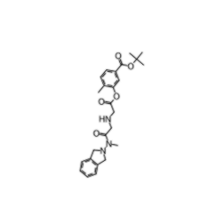 Cc1ccc(C(=O)OC(C)(C)C)cc1OC(=O)CNCC(=O)N(C)N1Cc2ccccc2C1